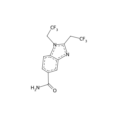 NC(=O)c1ccc2c(c1)nc(CC(F)(F)F)n2CC(F)(F)F